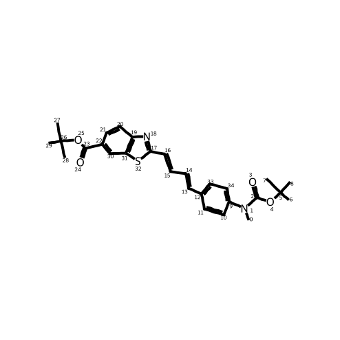 CN(C(=O)OC(C)(C)C)c1ccc(C=CC=Cc2nc3ccc(C(=O)OC(C)(C)C)cc3s2)cc1